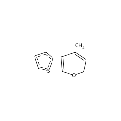 C.C1=CCOC=C1.c1ccsc1